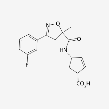 CC1(C(=O)N[C@@H]2C=C[C@H](C(=O)O)C2)CC(c2cccc(F)c2)=NO1